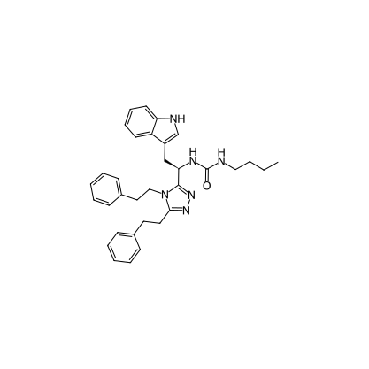 CCCCNC(=O)N[C@H](Cc1c[nH]c2ccccc12)c1nnc(CCc2ccccc2)n1CCc1ccccc1